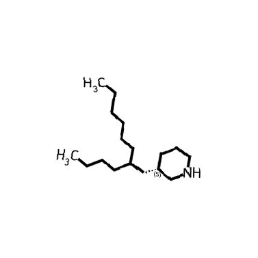 CCCCCCC(CCCC)C[C@@H]1CCCNC1